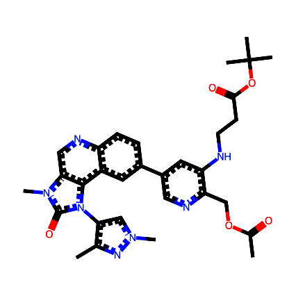 CC(=O)OCc1ncc(-c2ccc3ncc4c(c3c2)n(-c2cn(C)nc2C)c(=O)n4C)cc1NCCC(=O)OC(C)(C)C